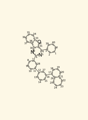 c1ccc(-c2nc(-c3cccc(-c4cccc(-c5cccc6ccccc56)c4)c3)nc3c2oc2ccccc23)cc1